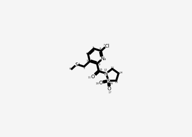 CSCc1ccc(Cl)nc1C(=O)N1CCCS1(=O)=O